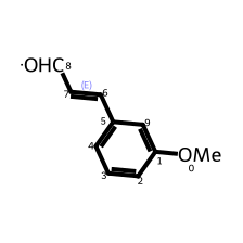 COc1cccc(/C=C/[C]=O)c1